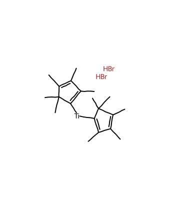 Br.Br.CC1=C(C)C(C)(C)[C]([Ti][C]2=C(C)C(C)=C(C)C2(C)C)=C1C